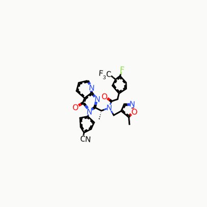 Cc1oncc1CN(C(=O)Cc1ccc(F)c(C(F)(F)F)c1)[C@H](C)c1nc2ncccc2c(=O)n1-c1ccc(C#N)cc1